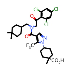 CC1(C)CCC(CN(CC(=O)c2c(Cl)cc(Cl)cc2Cl)C(=O)c2cnn([C@H]3CC[C@](C)(C(=O)O)CC3)c2C(F)(F)F)CC1